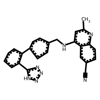 Cc1cc(NCc2ccc(-c3ccccc3-c3nnn[nH]3)cc2)c2cc(C#N)ccc2n1